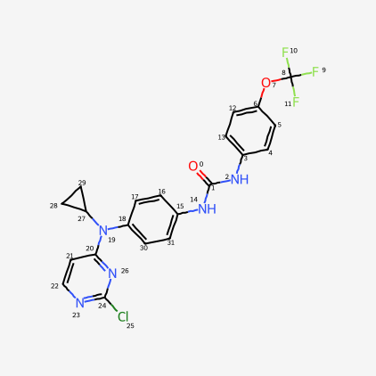 O=C(Nc1ccc(OC(F)(F)F)cc1)Nc1ccc(N(c2ccnc(Cl)n2)C2CC2)cc1